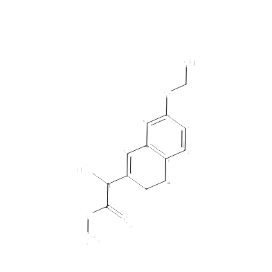 CCOc1ccc2c(c1)C=C(C(C)C(=O)OC)CC2